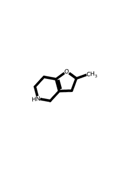 CC1CC2=C(CCNC2)O1